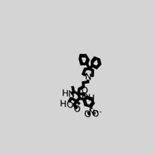 CC1NC(C)C(CCCCN2CCC(c3ccccc3)(c3ccccc3)CC2)(C(=O)O)C(c2cccc([N+](=O)[O-])c2)C1(C)C(=O)O